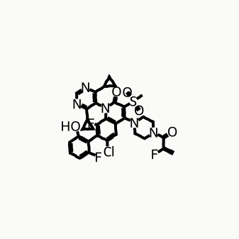 C=C(F)C(=O)N1CCN(c2c(S(C)(=O)=O)c(=O)n(-c3c(C4CC4)ncnc3C3CC3)c3c(F)c(-c4c(O)cccc4F)c(Cl)cc23)CC1